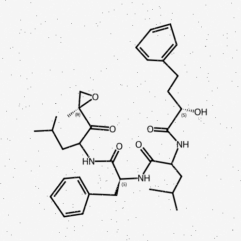 CC(C)CC(NC(=O)[C@@H](O)CCc1ccccc1)C(=O)N[C@@H](Cc1ccccc1)C(=O)NC(CC(C)C)C(=O)[C@@]1(C)CO1